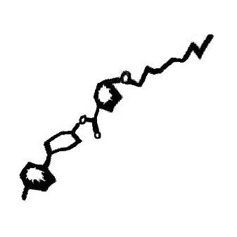 CCCCCCCCOc1ccc(C(=O)OC2CCC(c3ccc(C)cc3)CC2)cc1